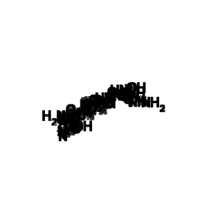 CNC(=O)[C@H](CCCCN)NC(=O)[C@H](CO)NC(=O)CNC(=O)CNC(=O)CNC(=O)[C@H](CC(C)C)NC(=O)[C@@H]1CCCN1C(=O)[C@@H](CC(=O)CNC(=O)[C@H](CC(N)=O)NC(=O)[C@H](CO)NC(=O)[C@@H](C)CC1=NC=NC1)CC(C)C